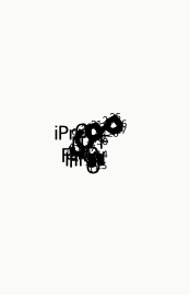 CC(C)C(=O)N1CC(F)(F)[C@H](NS(=O)(=O)N(C)C)[C@@H]1Cc1cccc(-c2ccccc2)c1F